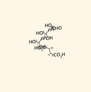 CCCC(O)O.CCCC(O)O.O=C(O)CCC(=O)O.O=CO